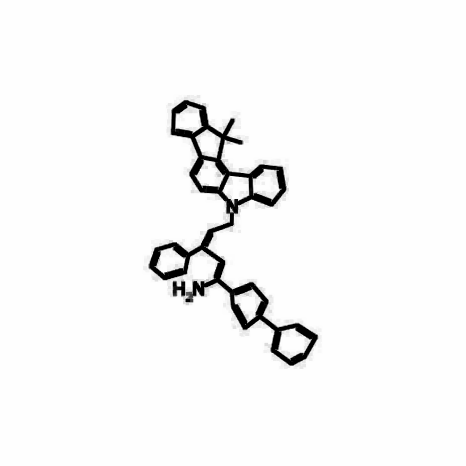 CC1(C)c2ccccc2-c2ccc3c(c21)c1ccccc1n3C/C=C(\C=C(/N)c1ccc(-c2ccccc2)cc1)c1ccccc1